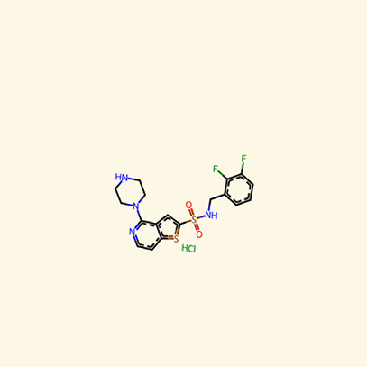 Cl.O=S(=O)(NCc1cccc(F)c1F)c1cc2c(N3CCNCC3)nccc2s1